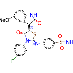 COc1ccc2c(c1)/C(=C1/S/C(=N\c3ccc(S(N)(=O)=O)cc3)N(c3ccc(F)cc3)C1=O)C(=O)N2